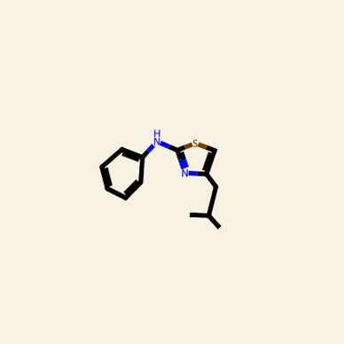 CC(C)Cc1csc(Nc2ccccc2)n1